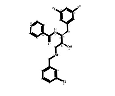 CCc1cccc(CNC[C@H](O)[C@H](Cc2cc(F)cc(F)c2)NC(=O)c2ccncc2)c1